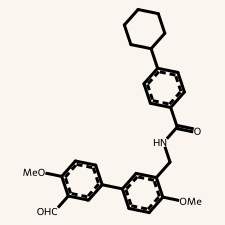 COc1ccc(-c2ccc(OC)c(CNC(=O)c3ccc(C4CCCCC4)cc3)c2)cc1C=O